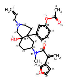 C=CCN1CCC2(c3cccc(OC(C)=O)c3)CC(N(C)C(=O)C(=C)c3ccoc3)CCC2(O)C1